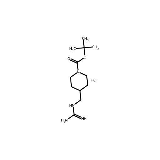 CC(C)(C)OC(=O)N1CCC(CNC(=N)N)CC1.Cl